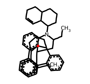 CCC(CC1C(C)c2cccc3c2-c2ccccc2C2CCCC3C21)N(c1cccc(-c2ccccc2)c1)C1CCCC2CCC=CC21